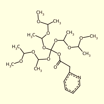 COC(C)OC(C)OC(OC(=O)Cc1ccccn1)(OC(C)OC(C)OC)OC(C)OC(C)OC